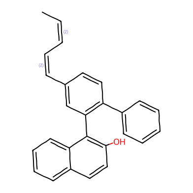 C/C=C\C=C/c1ccc(-c2ccccc2)c(-c2c(O)ccc3ccccc23)c1